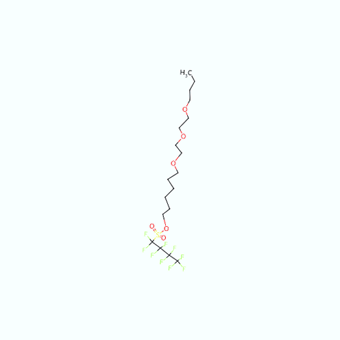 CCCCOCCOCCOCCCCCCOS(=O)(=O)C(F)(F)C(F)(F)C(F)(F)C(F)(F)F